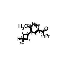 CCCC(=O)c1cc(C2CC(F)(F)C2)c(C)nn1